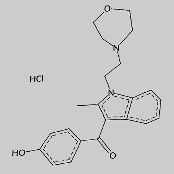 Cc1c(C(=O)c2ccc(O)cc2)c2ccccc2n1CCN1CCOCC1.Cl